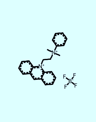 C[N+](C)(CC[n+]1c2ccccc2cc2ccccc21)c1ccccc1.F[B-](F)(F)F